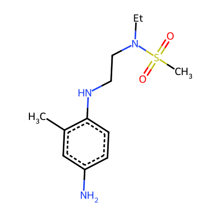 CCN(CCNc1ccc(N)cc1C)S(C)(=O)=O